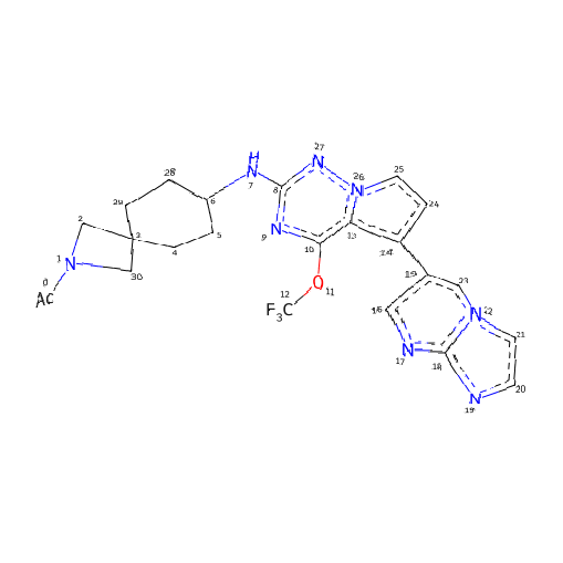 CC(=O)N1CC2(CCC(Nc3nc(OC(F)(F)F)c4c(-c5cnc6nccn6c5)ccn4n3)CC2)C1